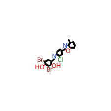 Cc1cccc2oc(-c3ccc(/N=C/c4cc(Br)c(O)c(Br)c4O)c(Cl)c3)nc12